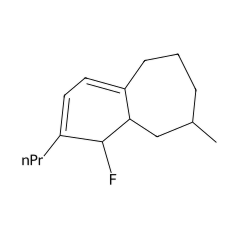 CCCC1=CC=C2CCCC(C)CC2C1F